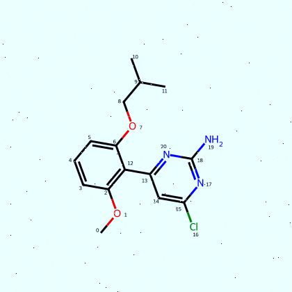 COc1cccc(OCC(C)C)c1-c1cc(Cl)nc(N)n1